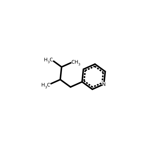 CC(C)C(C)Cc1cccnc1